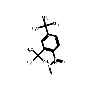 CC(C)(C)c1ccc([PH](=O)OF)c(C(C)(C)C)c1